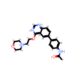 CC(=O)Nc1ccc(-c2ccc3ncnc(OCCN4CCOCC4)c3c2)cc1